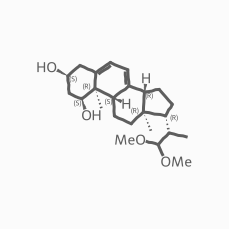 COC(OC)C(C)[C@H]1CC[C@H]2C3=CC=C4C[C@H](O)C[C@H](O)[C@]4(C)[C@H]3CC[C@]12C